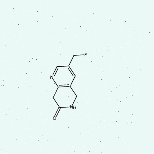 O=C1Cc2ncc(CF)cc2CN1